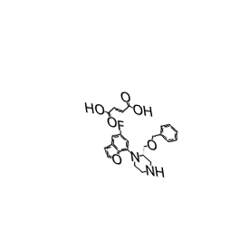 Fc1cc(N2CCNC[C@H]2COCc2ccccc2)c2occc2c1.O=C(O)/C=C/C(=O)O